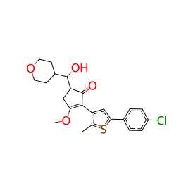 COC1=C(c2cc(-c3ccc(Cl)cc3)sc2C)C(=O)C(C(O)C2CCOCC2)C1